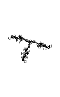 COc1cc2c(Nc3ccc(NC(=O)c4cccc(Cl)c4)nc3)ncnc2cc1OCCCN1CCC(COP(=O)(OCC2CCN(CCCOc3cc4ncnc(Nc5ccc(NC(=O)c6cccc(Cl)c6)nc5)c4cc3OC)CC2)OCC2CCN(CCCOc3cc4ncnc(Nc5ccc(NC(=O)c6cccc(Cl)c6)nc5)c4cc3OC)CC2)CC1